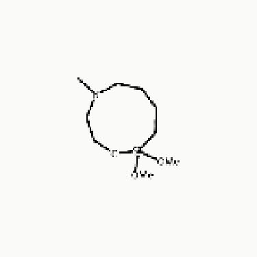 CO[Si]1(OC)CCCCN(C)CCO1